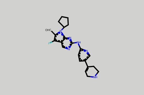 O=Cc1c(F)c2cnc(Nc3ccc(C4=CCNCC4)cn3)nc2n1C1CCCC1